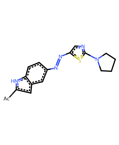 CC(=O)c1cc2cc(/N=N/c3cnc(N4CCCC4)s3)ccc2[nH]1